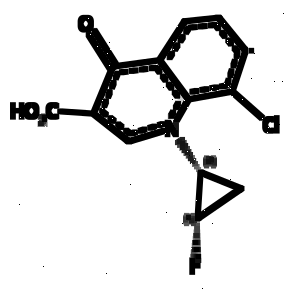 O=C(O)c1cn([C@@H]2C[C@@H]2F)c2c(Cl)[c]ccc2c1=O